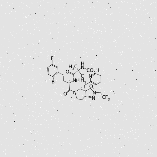 CC(C)(NC(=O)O)C(=O)NC(CCc1cc(F)ccc1Br)C(=O)N1CCC2=NN(CC(F)(F)F)C(=O)C2(Cc2ccccn2)C1